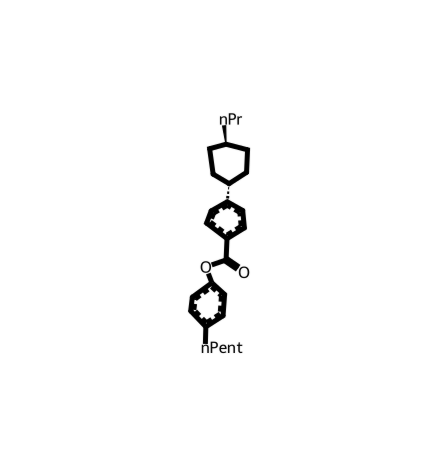 CCCCCc1ccc(OC(=O)c2ccc([C@H]3CC[C@H](CCC)CC3)cc2)cc1